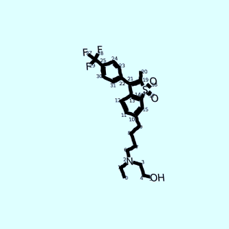 CCN(CCO)CCCCc1ccc2c(c1)S(=O)(=O)C(C)=C2c1ccc(C(F)(F)F)cc1